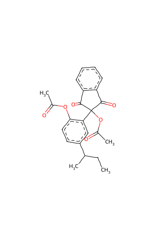 CCC(C)c1ccc(OC(C)=O)c(C2(OC(C)=O)C(=O)c3ccccc3C2=O)c1